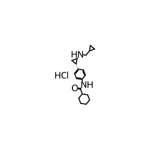 Cl.O=C(Nc1ccc([C@@H]2C[C@H]2NCC2CC2)cc1)C1CCCCC1